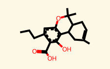 CCCc1cc2c(c(O)c1C(=O)O)C1CC(C)=CCC1C(C)(C)O2